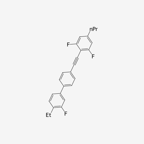 CCCc1cc(F)c(C#Cc2ccc(-c3ccc(CC)c(F)c3)cc2)c(F)c1